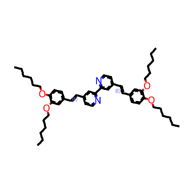 CCCCCCOc1ccc(/C=C/c2ccnc(-c3cc(/C=C/c4ccc(OCCCCCC)c(OCCCCCC)c4)ccn3)c2)cc1OCCCCCC